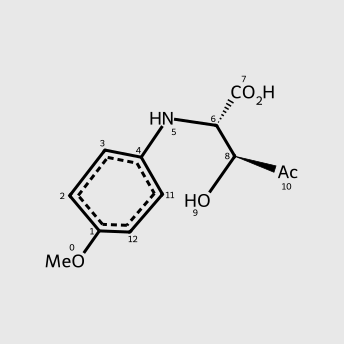 COc1ccc(N[C@H](C(=O)O)[C@H](O)C(C)=O)cc1